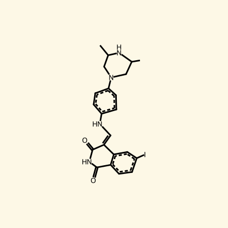 CC1CN(c2ccc(NC=C3C(=O)NC(=O)c4ccc(I)cc43)cc2)CC(C)N1